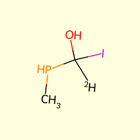 [2H]C(O)(I)PC